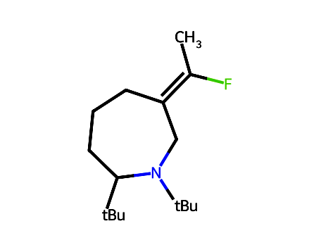 C/C(F)=C1\CCCC(C(C)(C)C)N(C(C)(C)C)C1